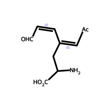 CC(=O)/C=C(\C=C/C=O)CC(N)C(=O)O